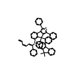 C=C/C=C\C=C(/c1ccccc1)N(c1ccc2c(c1)C(C)(C)c1ccccc1-2)c1cccc2c1C(c1ccccc1)(c1ccccc1)c1c(-c3ccccc3)sc(-c3ccccc3)c1-2